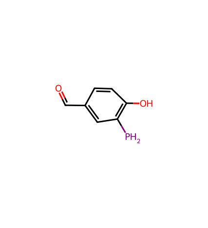 O=Cc1ccc(O)c(P)c1